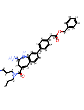 CCCN(CCCN=O)C(=O)C1=Cc2ccc(-c3ccc(CC(=O)OCc4ccccc4)cc3)cc2NC(N)C1